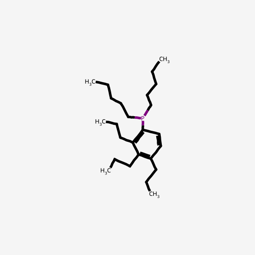 CCCCCP(CCCCC)c1ccc(CCC)c(CCC)c1CCC